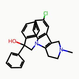 CN1CCc2c(c3cc(Cl)ccc3n2CC(O)(c2ccccc2)c2ccccc2)C1